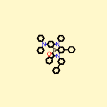 c1ccc(-c2cccc(N3c4cc(C5CCCCC5)cc5c4B(c4cc(N(c6ccccc6)c6ccccc6)ccc4N5c4ccccc4)c4oc5ccccc5c43)c2)cc1